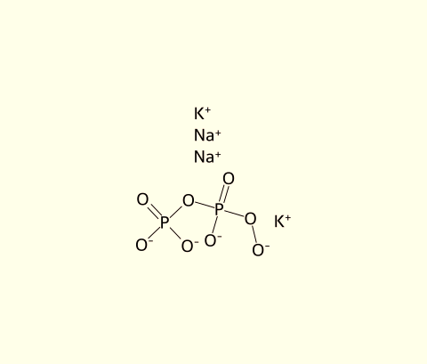 O=P([O-])([O-])OP(=O)([O-])O[O-].[K+].[K+].[Na+].[Na+]